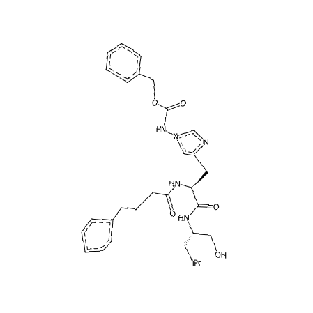 CC(C)C[C@@H](CO)NC(=O)[C@H](Cc1cn(NC(=O)OCc2ccccc2)cn1)NC(=O)CCCc1ccccc1